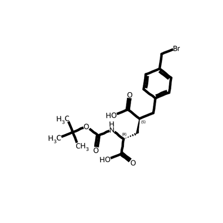 CC(C)(C)OC(=O)N[C@H](C[C@H](Cc1ccc(CBr)cc1)C(=O)O)C(=O)O